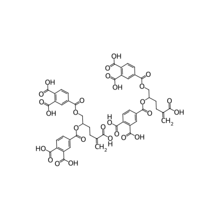 C=C(CCC(COC(=O)c1ccc(C(=O)O)c(C(=O)O)c1)OC(=O)c1ccc(C(=O)O)c(C(=O)O)c1)C(=O)O.C=C(CCC(COC(=O)c1ccc(C(=O)O)c(C(=O)O)c1)OC(=O)c1ccc(C(=O)O)c(C(=O)O)c1)C(=O)O